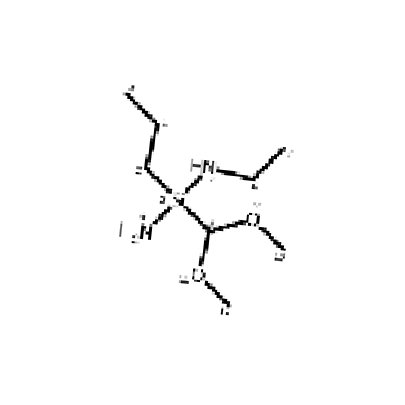 CCC[Si](N)(NCC)C(OC)OC